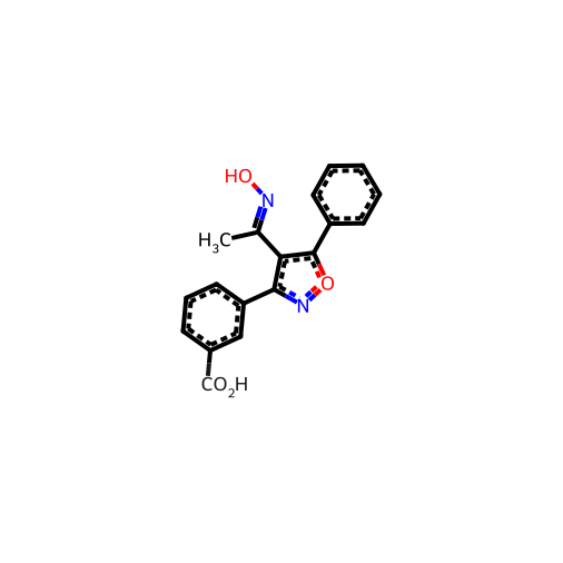 C/C(=N\O)c1c(-c2cccc(C(=O)O)c2)noc1-c1ccccc1